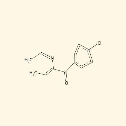 C/C=N\C(=C/C)C(=O)c1ccc(Cl)cc1